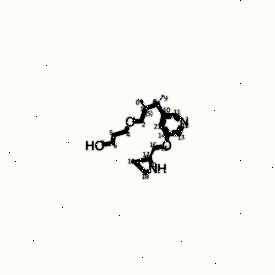 C[C@H](COCCCO)[C@H](C)c1cncc(OC[C@@H]2CCN2)c1